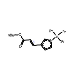 CCCCOC(=O)/C=C/c1ccn([Si](C(C)C)(C(C)C)C(C)C)c1